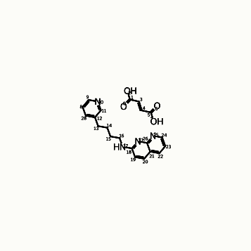 O=C(O)/C=C/C(=O)O.c1cncc(CCCCNc2ccc3cccnc3n2)c1